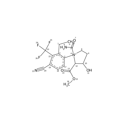 CCc1c([N+]2(C(N)=O)CCC(O)C2C(=O)OC)ccc(C#N)c1C(F)(F)F